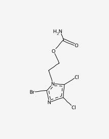 NC(=O)OCCn1c(Br)nc(Cl)c1Cl